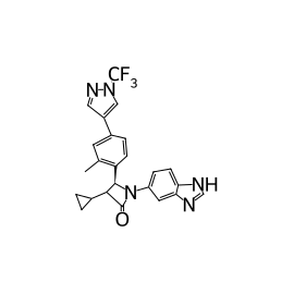 Cc1cc(-c2cnn(C(F)(F)F)c2)ccc1[C@@H]1C(C2CC2)C(=O)N1c1ccc2[nH]cnc2c1